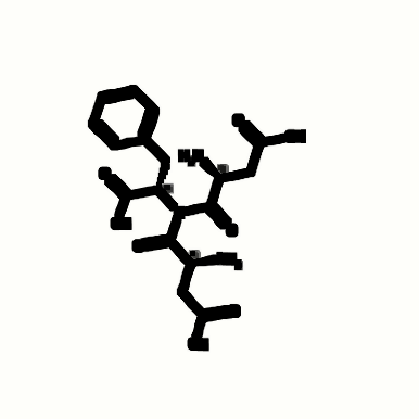 N[C@@H](CC(=O)O)C(=O)N(C(=O)[C@@H](N)CC(=O)O)[C@@H](Cc1ccccc1)C(=O)O